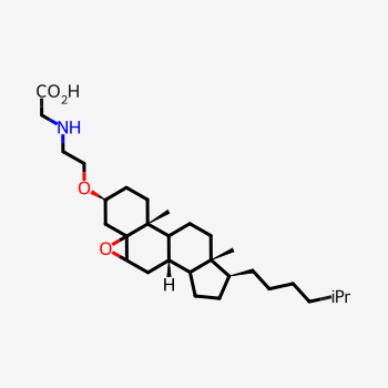 CC(C)CCCC[C@H]1CCC2[C@@H]3CC4OC45C[C@@H](OCCNCC(=O)O)CC[C@]5(C)C3CC[C@@]21C